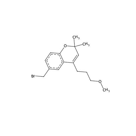 COCCCC1=CC(C)(C)Oc2ccc(CBr)cc21